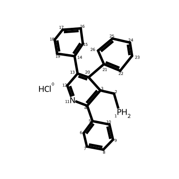 Cl.PCc1c(-c2ccccc2)ncc(-c2ccccc2)c1-c1ccccc1